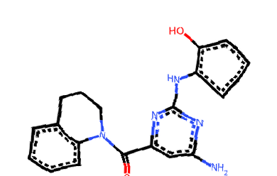 Nc1cc(C(=O)N2CCCc3ccccc32)nc(Nc2ccccc2O)n1